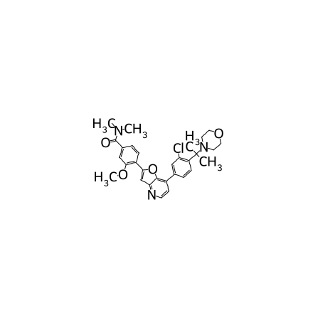 COc1cc(C(=O)N(C)C)ccc1-c1cc2nccc(-c3ccc(C(C)(C)N4CCOCC4)c(Cl)c3)c2o1